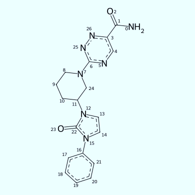 NC(=O)c1cnc(N2CCCC(n3ccn(-c4ccccc4)c3=O)C2)nn1